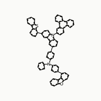 c1ccc(N(c2ccc(-c3ccc4c(c3)c3cc(-c5cccc6c5sc5ccccc56)ccc3n4-c3ccc4c5ccccc5c5ccccc5c4c3)cc2)c2ccc(-c3cccc4oc5ccccc5c34)cc2)cc1